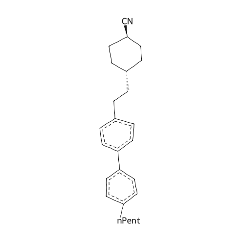 CCCCCc1ccc(-c2ccc(CC[C@H]3CC[C@H](C#N)CC3)cc2)cc1